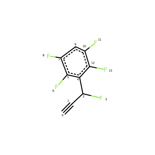 C#CC(F)c1c(F)c(F)[c]c(F)c1F